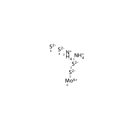 [Mo+6].[NH4+].[NH4+].[S-2].[S-2].[S-2].[S-2]